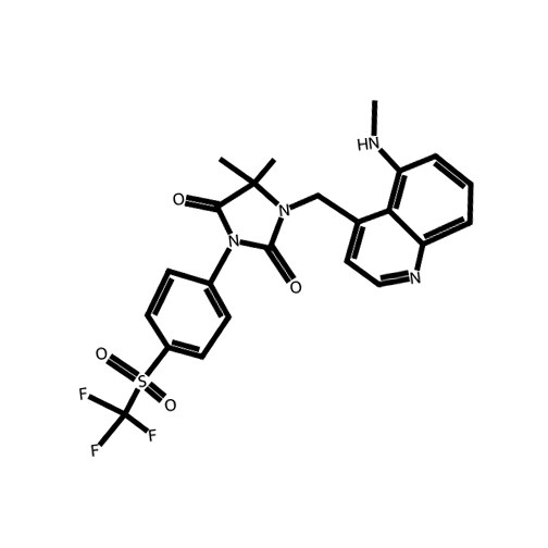 CNc1cccc2nccc(CN3C(=O)N(c4ccc(S(=O)(=O)C(F)(F)F)cc4)C(=O)C3(C)C)c12